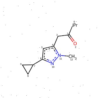 CC(C)C(=O)Cc1cc(C2CC2)nn1C